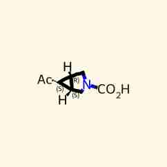 CC(=O)[C@@H]1[C@@H]2CN(C(=O)O)C[C@@H]21